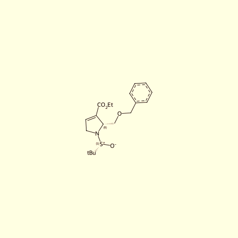 CCOC(=O)C1=CCN([S@+]([O-])C(C)(C)C)[C@H]1COCc1ccccc1